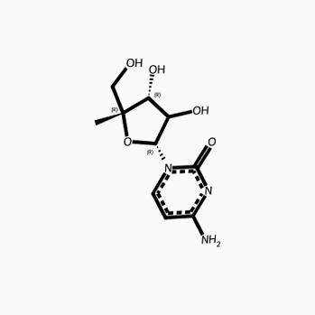 C[C@]1(CO)O[C@@H](n2ccc(N)nc2=O)C(O)[C@H]1O